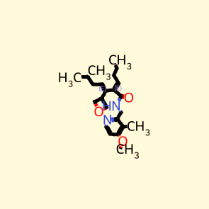 CCC/C=C(C(=O)NCc1nccc(OC)c1C)\C(=C\CC(C)C)C1COC1